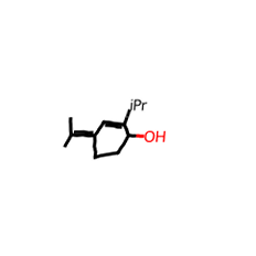 CC(C)=C1C=C(C(C)C)C(O)CC1